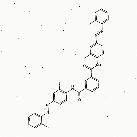 Cc1ccccc1/N=N/c1ccc(NC(=O)c2cccc(C(=O)Nc3ccc(/N=N/c4ccccc4C)cc3C)c2)c(C)c1